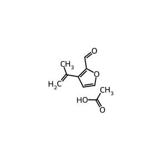 C=C(C)c1ccoc1C=O.CC(=O)O